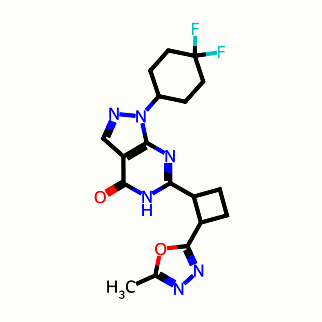 Cc1nnc(C2CCC2c2nc3c(cnn3C3CCC(F)(F)CC3)c(=O)[nH]2)o1